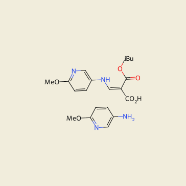 CCC(C)OC(=O)C(=CNc1ccc(OC)nc1)C(=O)O.COc1ccc(N)cn1